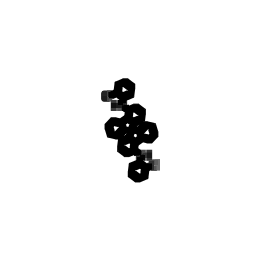 Clc1ccccc1Nc1cccc2c1-c1ccccc1C21c2ccccc2-c2c(Nc3ccccc3Cl)cccc21